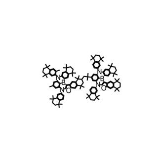 Cc1cc2c3c(c1)N(c1ccc4c(c1)C(C)(C)CCC4(C)C)c1oc4cc5c(cc4c1B3c1cc3c(cc1N2c1cc2c(cc1C)C(C)(C)CCC2(C)C)C(C)(C)CCC3(C)C)C(C)(C)C(CC(C)(C)c1cc2c3c(c1)N(c1ccc4c(c1)C(C)(C)CCC4(C)C)c1oc4cc6c(cc4c1B3c1cc3c(cc1N2c1ccc2c(c1)C(C)(C)CCC2(C)C)C(C)(C)CCC3(C)C)C(C)(C)CCC6(C)C)CC5(C)C